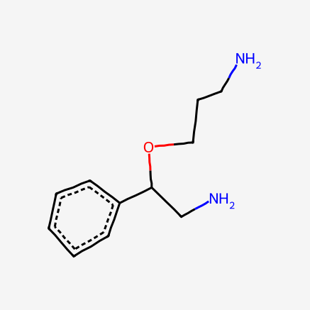 NCCCOC(CN)c1ccccc1